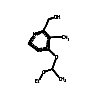 CCOC(C)Oc1ccnc(CO)c1C